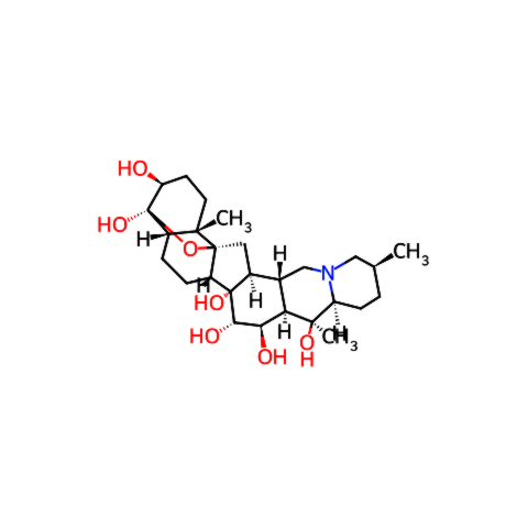 C[C@H]1CC[C@@H]2N(C1)C[C@@H]1[C@H]([C@@H](O)[C@H](O)[C@]3(O)[C@H]1C[C@@]14O[C@@]5(O)[C@@H](CC[C@@H]31)[C@]4(C)CC[C@@H]5O)[C@]2(C)O